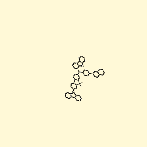 CC1(C)c2cc(N(c3ccc(-c4ccc5ccccc5c4)cc3)c3cccc4c3oc3ccccc34)ccc2-c2ccc(-n3c4ccccc4c4ccccc43)cc21